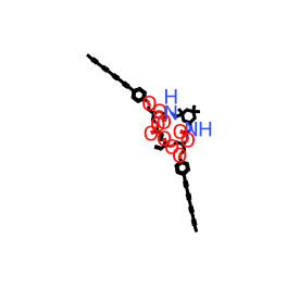 C=CC(=O)OCC(COc1ccc(C#CC#CC#CC#CC)cc1)OC(=O)NCC1(C)CC(NC(=O)OC(COC(=O)C=C)COc2ccc(C#CC#CC#CC#CC)cc2)CC(C)(C)C1